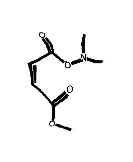 COC(=O)/C=C\C(=O)ON(C)C